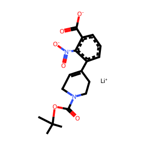 CC(C)(C)OC(=O)N1CC=C(c2cccc(C(=O)[O-])c2[N+](=O)[O-])CC1.[Li+]